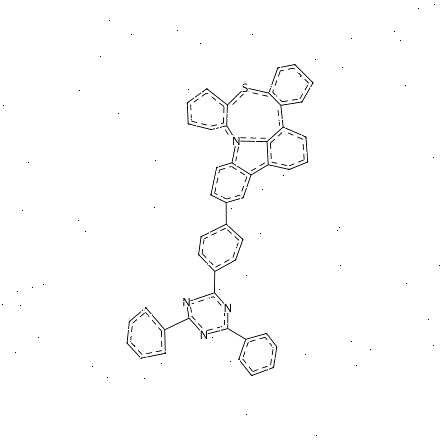 c1ccc(-c2nc(-c3ccccc3)nc(-c3ccc(-c4ccc5c(c4)c4cccc6c7ccccc7sc7ccccc7n5c64)cc3)n2)cc1